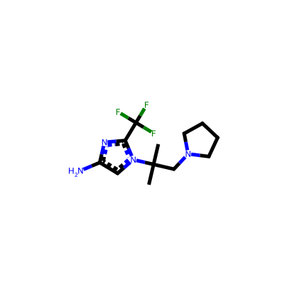 CC(C)(CN1CCCC1)n1cc(N)nc1C(F)(F)F